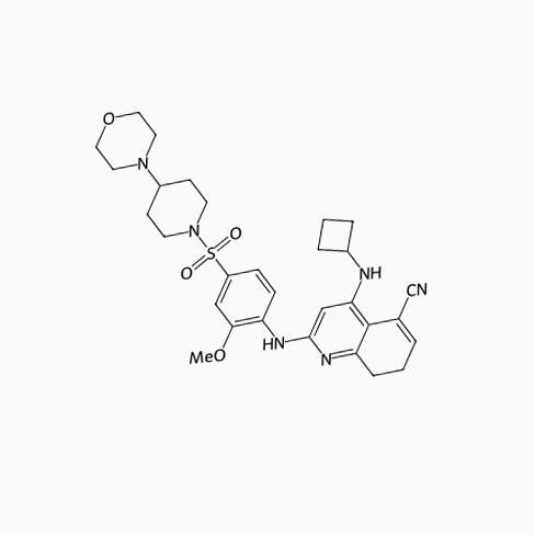 COc1cc(S(=O)(=O)N2CCC(N3CCOCC3)CC2)ccc1Nc1cc(NC2CCC2)c2c(n1)CCC=C2C#N